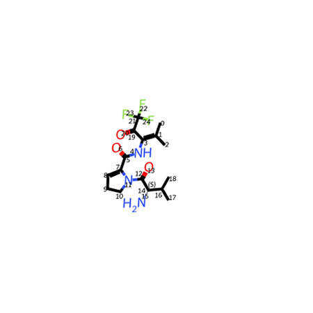 CC(C)=C(NC(=O)C1=CCCN1C(=O)[C@@H](N)C(C)C)C(=O)C(F)(F)F